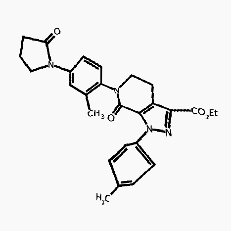 CCOC(=O)c1nn(-c2ccc(C)cc2)c2c1CCN(c1ccc(N3CCCC3=O)cc1C)C2=O